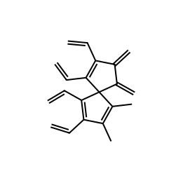 C=CC1=C(C=C)C2(C(=C)C1=C)C(C)=C(C)C(C=C)=C2C=C